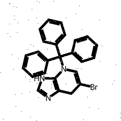 BrC1=CN(C(c2ccccc2)(c2ccccc2)c2ccccc2)c2[nH]cnc2C1